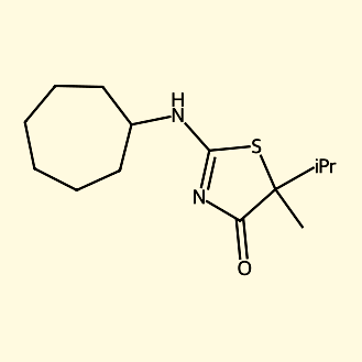 CC(C)C1(C)SC(NC2CCCCCC2)=NC1=O